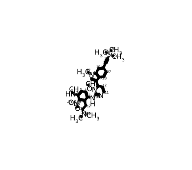 CNc1cc(OC)c(Nc2nccc(-c3cn(C)c4cc(C#C[Si](C)(C)C)ccc34)n2)c(CCN(C)C)c1[N+](=O)[O-]